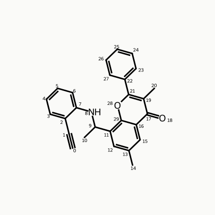 C#Cc1ccccc1NC(C)c1cc(C)cc2c(=O)c(C)c(-c3ccccc3)oc12